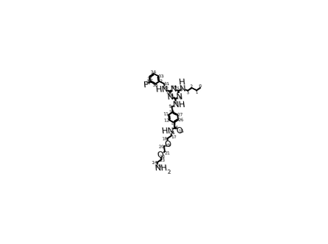 CCCCNc1nc(NCc2ccc(C(=O)NCCOCCOCCN)cc2)nc(NCc2cccc(F)c2)n1